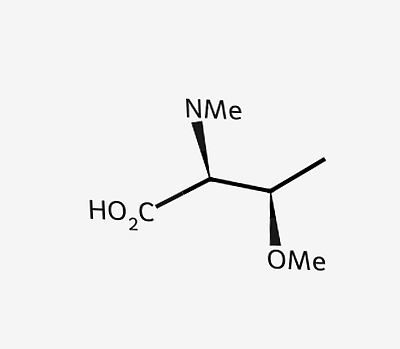 CN[C@H](C(=O)O)[C@@H](C)OC